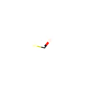 O=CS.[Cu]